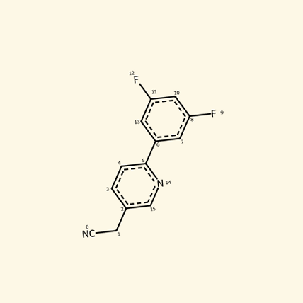 N#CCc1ccc(-c2cc(F)cc(F)c2)nc1